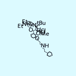 CCN(CC)C(=O)CC1OC(c2cccc(OCCCNCCCc3ccccc3)c2OC)c2cc(Cl)ccc2N(CC(C)(C)C)C1=O.Cl